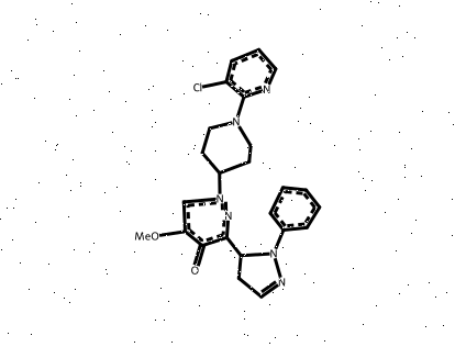 COc1cn(C2CCN(c3ncccc3Cl)CC2)nc(C2CC=NN2c2ccccc2)c1=O